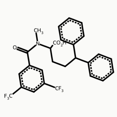 CN(C(=O)c1cc(C(F)(F)F)cc(C(F)(F)F)c1)C(CCC(c1ccccc1)c1ccccc1)C(=O)O